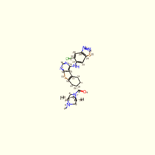 CN1C[C@H]2C[C@@H]1CN2C(=O)[C@H]1CCc2c(sc3ncnc(Nc4cc5snnc5cc4Cl)c23)C1